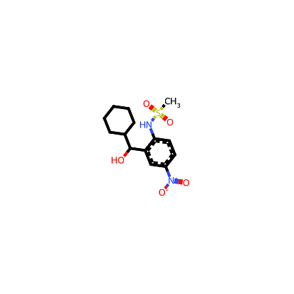 CS(=O)(=O)Nc1ccc([N+](=O)[O-])cc1C(O)C1CCCCC1